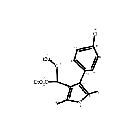 CCOC(=O)C(OC(C)(C)C)c1c(C)sc(C)c1-c1ccc(Cl)cc1